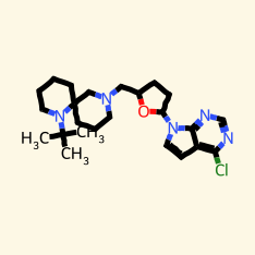 CC(C)(C)N1CCCCC12CCCN(CC1CCC(n3ccc4c(Cl)ncnc43)O1)C2